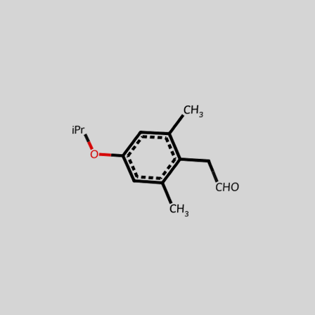 Cc1cc(OC(C)C)cc(C)c1CC=O